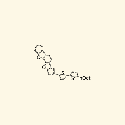 CCCCCCCCc1ccc(-c2ccc(-c3ccc4oc5c(ccc6c7ccccc7oc65)c4c3)s2)s1